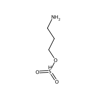 NCCCO[SH](=O)=O